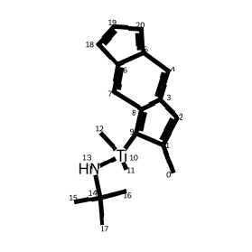 CC1=Cc2cc3c(cc2=[C]1[Ti]([CH3])([CH3])[NH]C(C)(C)C)C=CC=3